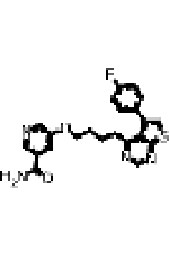 NC(=O)c1cncc(OCCCCc2ncnc3scc(-c4ccc(F)cc4)c23)c1